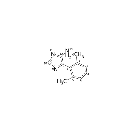 Cc1cccc(C)c1-c1nonc1N